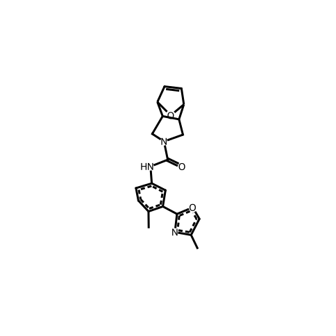 Cc1coc(-c2cc(NC(=O)N3CC4C5C=CC(O5)C4C3)ccc2C)n1